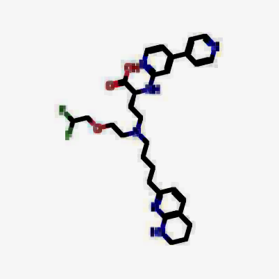 O=C(O)[C@H](CCN(CCCCc1ccc2c(n1)NCCC2)CCOCC(F)F)Nc1cc(-c2ccncc2)ccn1